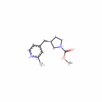 CC(C)(C)OC(=O)N1CC[C@H](Cc2ccnc(C(F)(F)F)c2)C1